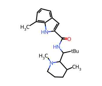 Cc1cccc2cc(C(=O)NC(C3C(C)CCCN3C)C(C)(C)C)[nH]c12